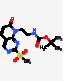 CC(C)(C)OC(=O)NCCn1c(=O)ccc2cnc(S(C)(=O)=O)nc21